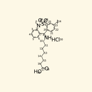 CN1c2ccccc2C(NCCCCCCCC(=O)O)c2ccc(I)cc2S1(=O)=O.Cl